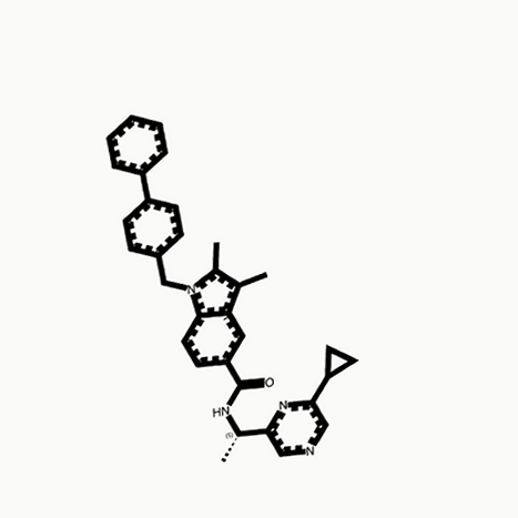 Cc1c(C)n(Cc2ccc(-c3ccccc3)cc2)c2ccc(C(=O)N[C@@H](C)c3cncc(C4CC4)n3)cc12